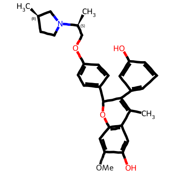 COc1cc2c(cc1O)C(C)=C(c1cccc(O)c1)C(c1ccc(OC[C@H](C)N3CC[C@@H](C)C3)cc1)O2